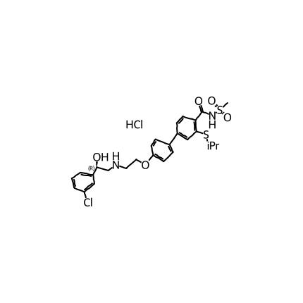 CC(C)Sc1cc(-c2ccc(OCCNC[C@H](O)c3cccc(Cl)c3)cc2)ccc1C(=O)NS(C)(=O)=O.Cl